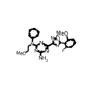 COCCN(c1ccccc1)c1nc(N)nc(-c2noc(-c3c(F)cccc3OC)n2)n1